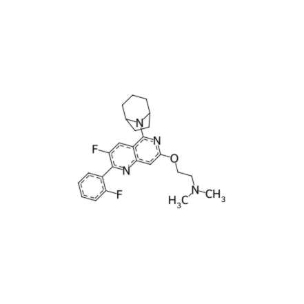 CN(C)CCOc1cc2nc(-c3ccccc3F)c(F)cc2c(N2C3CCCC2CC3)n1